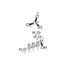 CCO.O.O.O.O.O.O.[Cl][Ce]([Cl])[Cl]